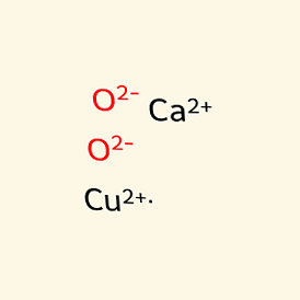 [Ca+2].[Cu+2].[O-2].[O-2]